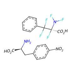 N[C@@H](Cc1ccc([N+](=O)[O-])cc1)C(=O)O.O=C(O)[C@@](F)(N(F)F)C(F)(F)c1ccccc1